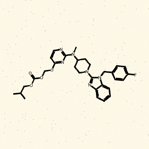 CC(C)COC(=O)OCOc1ccnc(N(C)C2CCN(c3nc4ccccc4n3Cc3ccc(F)cc3)CC2)n1